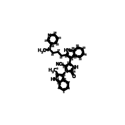 Cc1[nH]c2ccccc2c1-n1c(C#N)c(-c2c(CCCN(C)c3cccnc3)[nH]c3ccccc23)[nH]c1=O